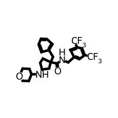 O=C(NCc1cc(C(F)(F)F)cc(C(F)(F)F)c1)C1(Cc2ccccc2)CCC(NC2CCOCC2)C1